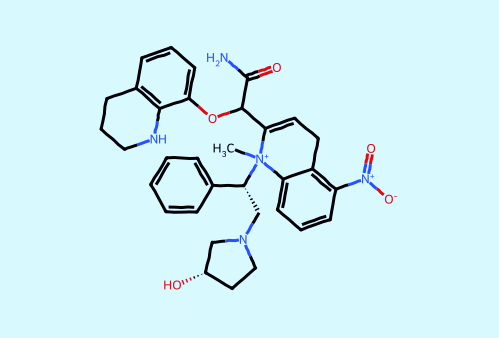 C[N+]1([C@H](CN2CC[C@H](O)C2)c2ccccc2)C(C(Oc2cccc3c2NCCC3)C(N)=O)=CCc2c([N+](=O)[O-])cccc21